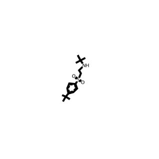 CC(C)(C)NCCS(=O)(=O)c1ccc(C(C)(C)C)cc1